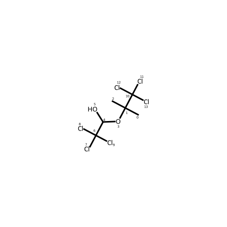 CC(C)(OC(O)C(Cl)(Cl)Cl)C(Cl)(Cl)Cl